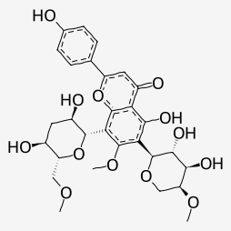 COC[C@H]1O[C@@H](c2c(OC)c([C@@H]3OC[C@H](OC)[C@H](O)[C@H]3O)c(O)c3c(=O)cc(-c4ccc(O)cc4)oc23)[C@H](O)C[C@@H]1O